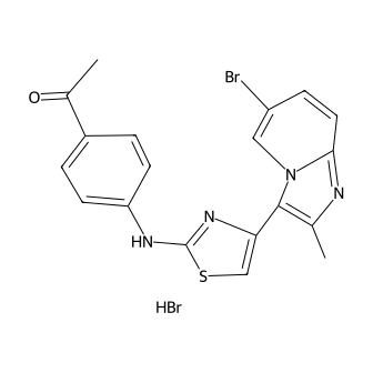 Br.CC(=O)c1ccc(Nc2nc(-c3c(C)nc4ccc(Br)cn34)cs2)cc1